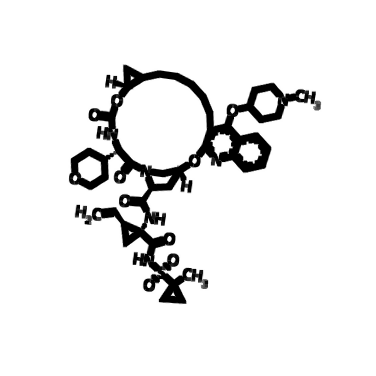 C=C[C@@H]1C[C@]1(NC(=O)[C@@H]1C[C@@H]2CN1C(=O)[C@H](C1CCOCC1)NC(=O)O[C@@H]1CC1CCCCCc1c(nc3ccccc3c1OC1CCN(C)CC1)O2)C(=O)NS(=O)(=O)C1(C)CC1